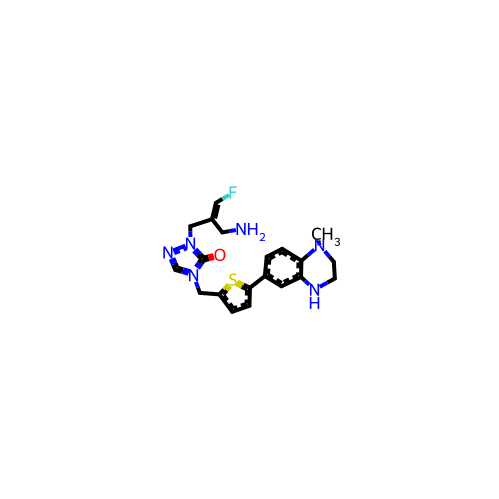 CN1CCNc2cc(-c3ccc(Cn4cnn(C/C(=C/F)CN)c4=O)s3)ccc21